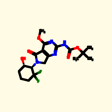 COc1nc(NC(=O)OC(C)(C)C)nc2c1C(=O)N([C@H]1[C@@H](O)CCCC1(F)F)C2